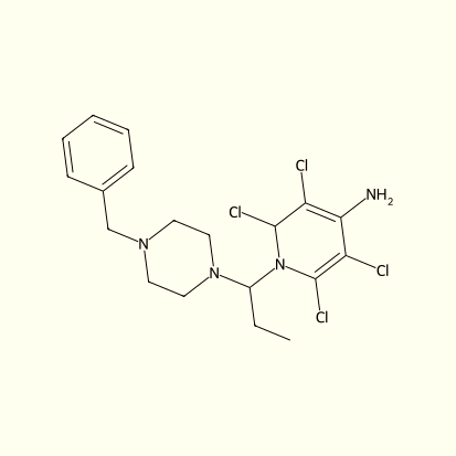 CCC(N1CCN(Cc2ccccc2)CC1)N1C(Cl)=C(Cl)C(N)=C(Cl)C1Cl